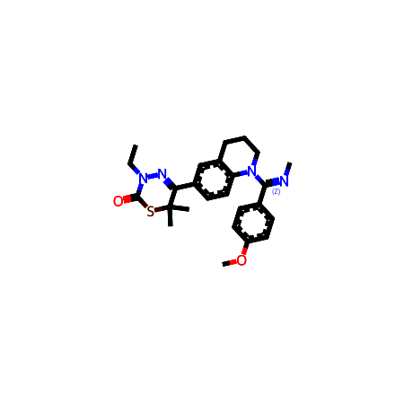 CCN1N=C(c2ccc3c(c2)CCCN3/C(=N\C)c2ccc(OC)cc2)C(C)(C)SC1=O